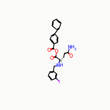 NC(=O)CC[C@H](NCc1cccc(I)c1)C(=O)OC(=O)c1ccc(-c2ccccc2)cc1